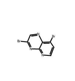 Brc1cnc2c(Br)ccnc2n1